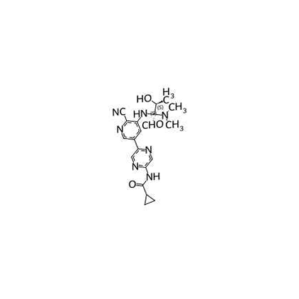 C[C@H](O)[C@](C=O)(Nc1cc(-c2cnc(NC(=O)C3CC3)cn2)cnc1C#N)N(C)C